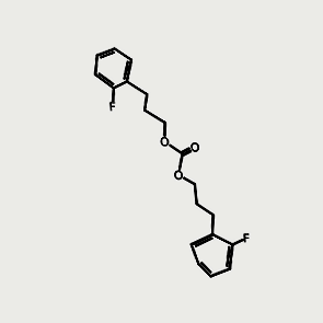 O=C(OCCCc1ccccc1F)OCCCc1ccccc1F